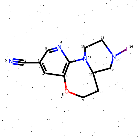 N#Cc1cnc2c(c1)OCCC1CN(I)CCN21